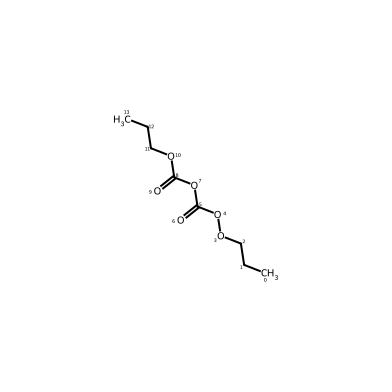 CCCOOC(=O)OC(=O)OCCC